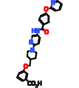 O=C(O)c1cccc(OCC2CCN(c3ccc(NC(=O)c4ccc(Oc5ccccn5)cc4)cn3)CC2)c1